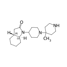 CC1(N2CCC(N3C(=O)C[C@H]4CCCC[C@@H]43)CC2)CCNCC1